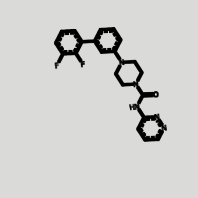 O=C(Nc1cccnn1)N1CCN(c2cccc(-c3cccc(F)c3F)c2)CC1